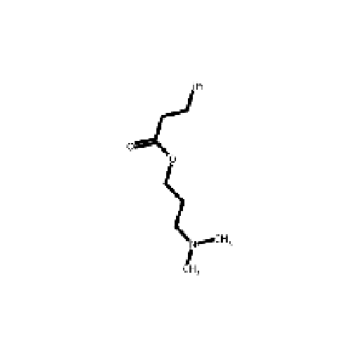 CC(C)CCC(=O)OCCCN(C)C